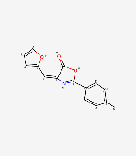 Cc1ccc(C2=NC(=Cc3ccco3)C(=O)O2)cc1